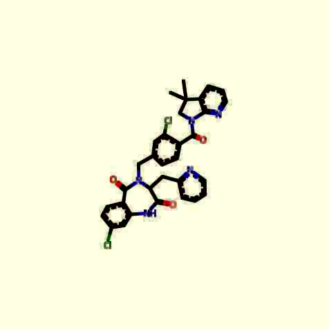 CC1(C)CN(C(=O)c2ccc(CN3C(=O)c4ccc(Cl)cc4NC(=O)C3Cc3ccccn3)cc2Cl)c2ncccc21